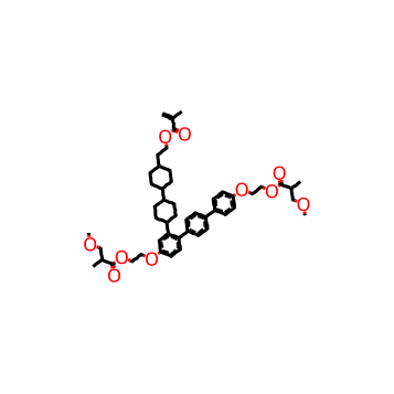 C=C(C)C(=O)OCCC1CCC(C2CCC(c3cc(OCCOC(=O)C(C)COC)ccc3-c3ccc(-c4ccc(OCCOC(=O)C(C)COC)cc4)cc3)CC2)CC1